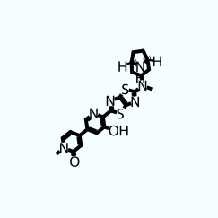 CN(c1nc2sc(-c3ncc(-c4ccn(C)c(=O)c4)cc3O)nc2s1)C1C[C@H]2CC[C@@H](C1)N2